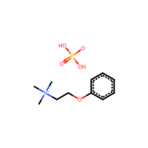 C[N+](C)(C)CCOc1ccccc1.O=P([O-])(O)O